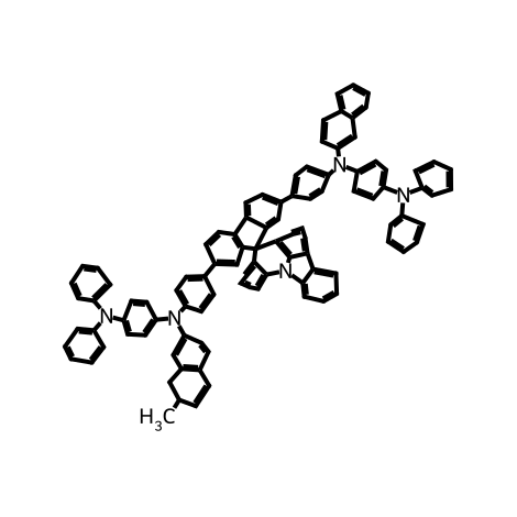 CC1C=Cc2ccc(N(c3ccc(-c4ccc5c(c4)C4(c6cc(-c7ccc(N(c8ccc(N(c9ccccc9)c9ccccc9)cc8)c8ccc9ccccc9c8)cc7)ccc6-5)c5ccccc5-n5c6ccccc6c6cccc4c65)cc3)c3ccc(N(c4ccccc4)c4ccccc4)cc3)cc2C1